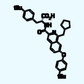 CC(C)(C)c1ccc(C[C@@H](NC(=O)c2cc3ccc(Oc4ccc(C(C)(C)C)cc4)cc3c(CC3CCCC3)n2)C(=O)O)cc1